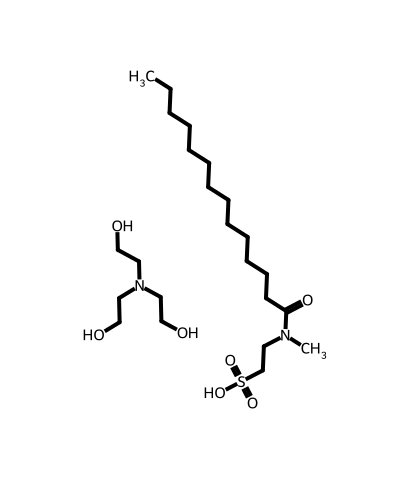 CCCCCCCCCCCCCC(=O)N(C)CCS(=O)(=O)O.OCCN(CCO)CCO